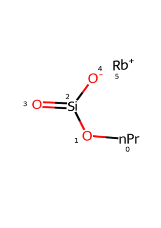 CCCO[Si](=O)[O-].[Rb+]